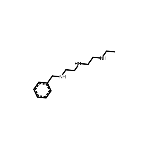 CCNCCNCCNCc1ccccc1